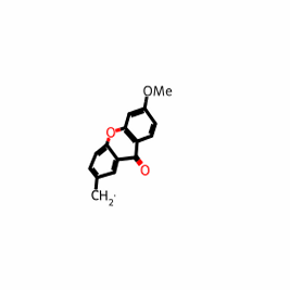 [CH2]c1ccc2oc3cc(OC)ccc3c(=O)c2c1